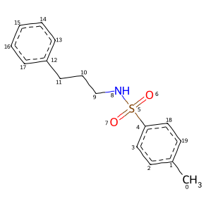 Cc1ccc(S(=O)(=O)NCCCc2ccccc2)cc1